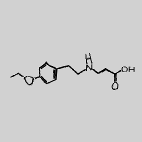 CCOc1ccc(CCNCCC(=O)O)cc1